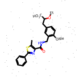 CCOC(Cc1ccc(OC)c(CNC(=O)c2nc(-c3ccccc3)sc2C)c1)C(=O)O